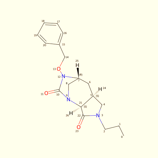 CCCN1C[C@@H]2C[C@@H]3CN(C(=O)N3OCc3ccccc3)[C@@H]2C1=O